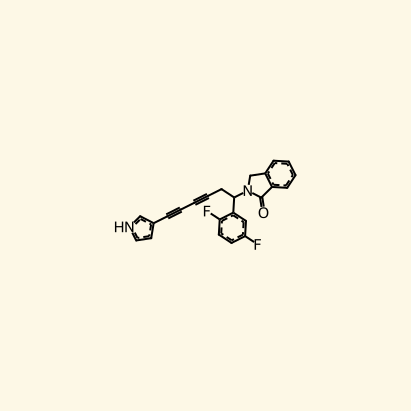 O=C1c2ccccc2CN1C(CC#CC#Cc1cc[nH]c1)c1cc(F)ccc1F